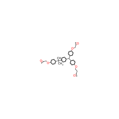 CC(C)(c1ccc(OCC2CO2)cc1)c1ccc(C(c2ccc(OCCC3CO3)cc2)c2ccc(OCC3CO3)cc2)cc1